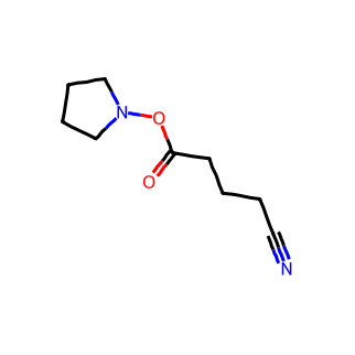 N#CCCCC(=O)ON1CCCC1